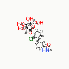 CNC(=O)c1cccc(-c2cccc(O[C@H]3OC(CO)[C@@H](O)C(O)[C@]3(C)O)c2Cl)c1